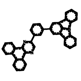 c1cc(-c2cc3c4ccccc4n4c5ccccc5c(c2)c34)cc(-c2cnc3c4ccccc4c4ccccc4c3n2)c1